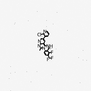 Cc1nc(N[C@H](C)c2cccc(C(F)F)c2F)c2cc(-c3cccnc3Cl)cnc2n1